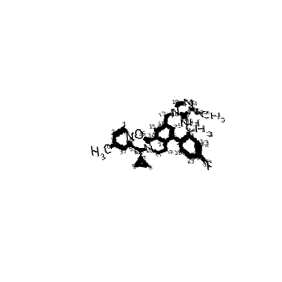 Cc1ccnc([C@H](C2CC2)N2CCc3c(cc(Cn4cnn(C)c4=N)cc3-c3ccc(F)cc3C)C2=O)c1